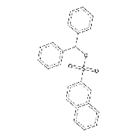 O=S(=O)(OC(c1ccccc1)c1ccccc1)c1ccc2ccccc2c1